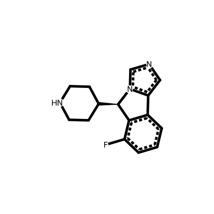 Fc1cccc2c1[C@@H](C1CCNCC1)n1cncc1-2